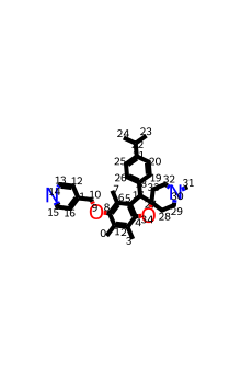 Cc1c(C)c2c(c(C)c1OCc1ccncc1)C(c1ccc(C(C)C)cc1)C1(CCN(C)CC1)O2